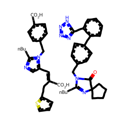 CCCCC1=NC2(CCCC2)C(=O)N1Cc1ccc(-c2ccccc2-c2nnn[nH]2)cc1.CCCCc1ncc(/C=C(\Cc2cccs2)C(=O)O)n1Cc1ccc(C(=O)O)cc1